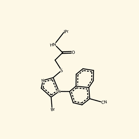 CC(C)NC(=O)CSc1ncc(Br)n1-c1ccc(C#N)c2ccccc12